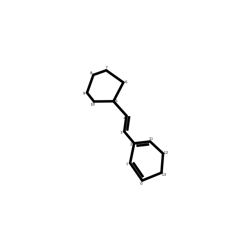 C1=CC(/C=C/C2CCCCC2)=CCC1